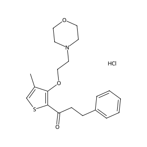 Cc1csc(C(=O)CCc2ccccc2)c1OCCN1CCOCC1.Cl